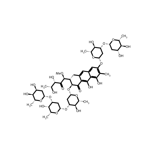 CO[C@H](C(=O)[C@@H](O)[C@@H](C)O)[C@@H]1Cc2cc3cc(O[C@H]4C[C@@H](O[C@H]5C[C@@H](O)[C@H](O)[C@@H](C)O5)[C@H](O)[C@@H](C)O4)c(C)c(O)c3c(O)c2C(=O)[C@H]1O[C@H]1C[C@@H](O[C@H]2C[C@@H](O[C@H]3C[C@H](O)[C@H](O)[C@@H](C)O3)[C@@H](O)[C@@H](C)O2)[C@H](O)[C@@H](C)O1